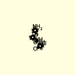 Nc1ccc(Oc2ccccc2NC(=O)Nc2cc(Cl)ccc2Cl)cc1